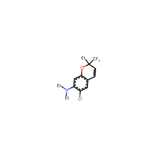 CCN(CC)c1cc2c(cc1Cl)C=CC(CC)(C(F)(F)F)O2